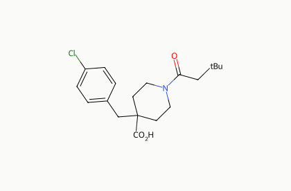 CC(C)(C)CC(=O)N1CCC(Cc2ccc(Cl)cc2)(C(=O)O)CC1